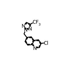 FC(F)(F)c1cnn(Cc2ccc3ncc(Cl)cc3c2)n1